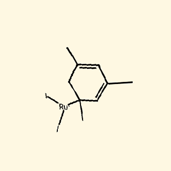 CC1=C[C](C)([Ru-]([I])[I])CC(C)=C1